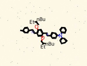 CCCCC(CC)COc1cc(/C=C/c2ccc(N(C3=CCCC=C3)c3ccccc3)cc2)c(OCC(CC)CCCC)cc1/C=C/c1ccc(C)cc1